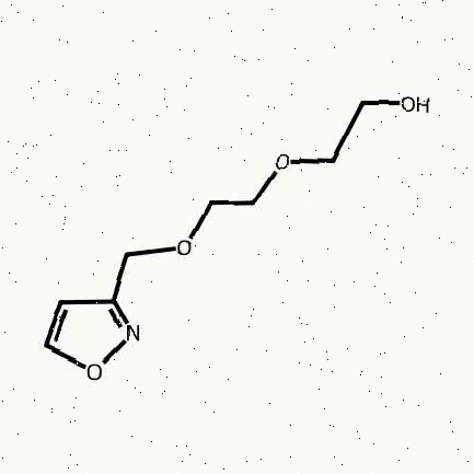 OCCOCCOCc1ccon1